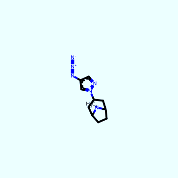 CN1C2CCC1CC(n1cc(N=[N+]=[N-])cn1)C2